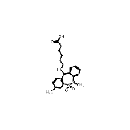 Cc1ccc2c(c1)S(=O)(=O)N(C)c1ccccc1C2NCCCCCC(=O)O